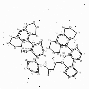 CC(C[C@H](C)Oc1ccccc1-c1ccnc(-c2c3c(cc4c2CCCC4)CCCC3)c1O)Oc1ccccc1-c1ccnc(-c2c3c(cc4c2CCCC4)CCCC3)c1O